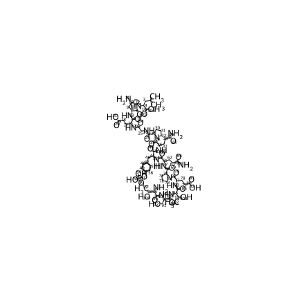 CC(C)CC(NC(=O)C(CC(N)=O)NC(=O)C(CCC(=O)O)NC(=O)CNC(=O)C1CCCN1C(=O)C(CCC(N)=O)NC(=O)C(Cc1ccc(OP(=O)(O)O)cc1)NC(=O)C(CCC(N)=O)NC(=O)C1CCCN1C(=O)C(CCC(=O)O)NC(=O)C(NC(=O)C(CO)NC(=O)C(N)C(C)O)C(C)O)C(=O)O